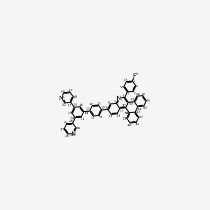 Fc1ccc(-c2nc3cc(-c4ccc(-c5cc(-c6cccnc6)cc(-c6cccnc6)c5)cc4)ccc3c3c4ccccc4c4ccccc4c23)cc1